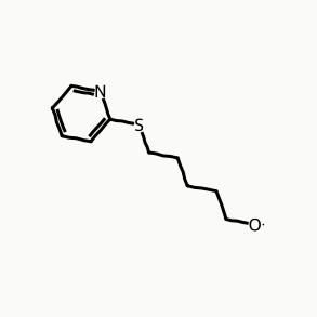 [O]CCCCCSc1ccccn1